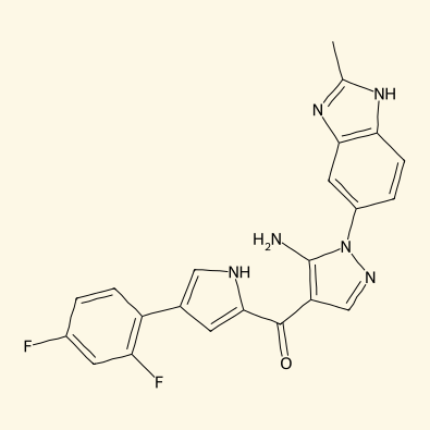 Cc1nc2cc(-n3ncc(C(=O)c4cc(-c5ccc(F)cc5F)c[nH]4)c3N)ccc2[nH]1